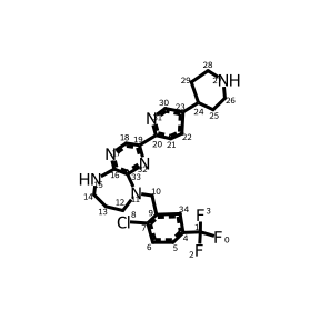 FC(F)(F)c1ccc(Cl)c(CN2CCCNc3ncc(-c4ccc(C5CCNCC5)cn4)nc32)c1